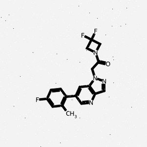 Cc1cc(F)ccc1-c1cnc2cnn(CC(=O)N3CC(F)(F)C3)c2c1